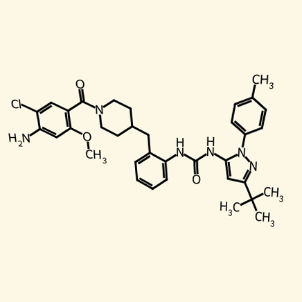 COc1cc(N)c(Cl)cc1C(=O)N1CCC(Cc2ccccc2NC(=O)Nc2cc(C(C)(C)C)nn2-c2ccc(C)cc2)CC1